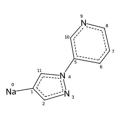 [Na][c]1cnn(-c2cccnc2)c1